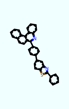 c1ccc(-c2nc3cc(-c4ccc(-c5nc6ccccc6c6c5ccc5ccccc56)cc4)ccc3s2)cc1